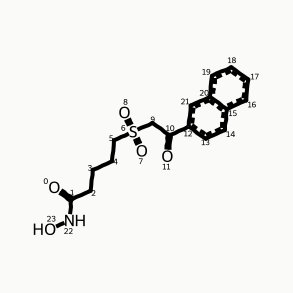 O=C(CCCCS(=O)(=O)CC(=O)c1ccc2ccccc2c1)NO